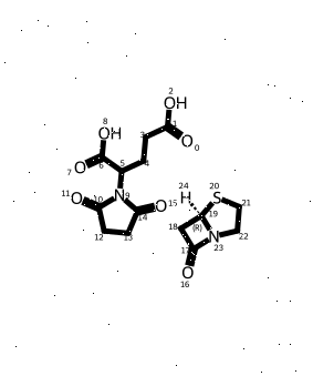 O=C(O)CCC(C(=O)O)N1C(=O)CCC1=O.O=C1C[C@H]2SCCN12